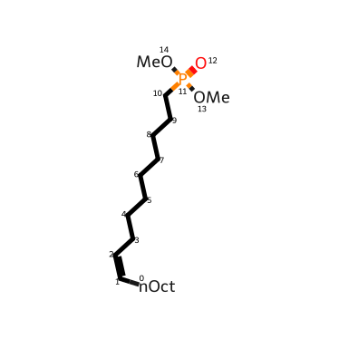 CCCCCCCC/C=C\CCCCCCCCP(=O)(OC)OC